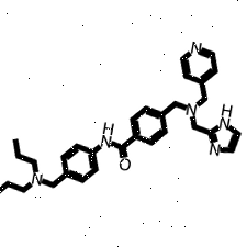 CCCN(CCC)Cc1ccc(NC(=O)c2ccc(CN(Cc3ccncc3)Cc3ncc[nH]3)cc2)cc1